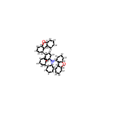 c1ccc(-c2ccccc2N(c2ccc(-c3cccc4oc5ccccc5c34)cc2)c2cccc3oc4ccccc4c23)cc1